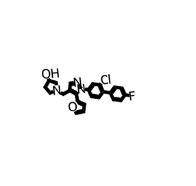 OC1CCN(Cc2cnn(-c3ccc(-c4ccc(F)cc4)c(Cl)c3)c2-c2ccco2)C1